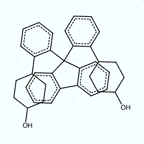 OC1CCC(c2ccccc2C2(c3ccccc3C3CCC(O)CC3)c3ccccc3-c3ccccc32)CC1